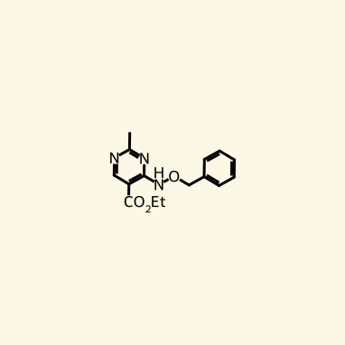 CCOC(=O)c1cnc(C)nc1NOCc1ccccc1